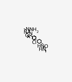 CCNC(=O)NC[C@H]1CC[C@H](c2ccc(C3=Nc4c(N)nc(C)nc4OC3(C)C)cc2Cl)CC1